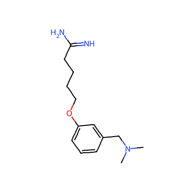 CN(C)Cc1cccc(OCCCCC(=N)N)c1